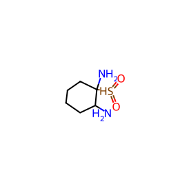 NC1CCCCC1(N)[SH](=O)=O